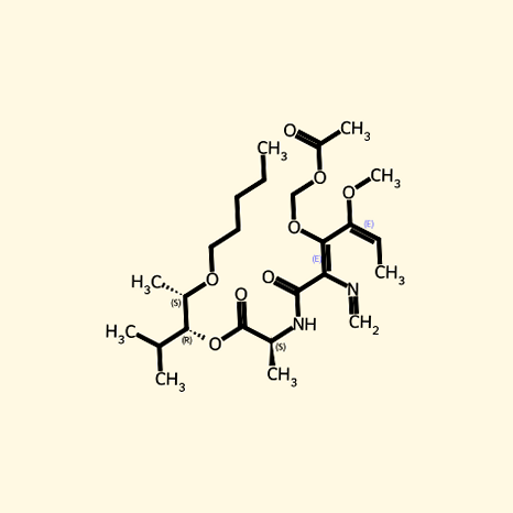 C=N/C(C(=O)N[C@@H](C)C(=O)O[C@H](C(C)C)[C@H](C)OCCCCC)=C(OCOC(C)=O)\C(=C/C)OC